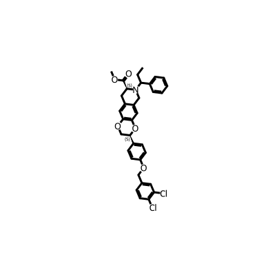 CCC(c1ccccc1)N1Cc2cc3c(cc2C[C@H]1C(=O)OC)OC[C@H](c1ccc(OCc2ccc(Cl)c(Cl)c2)cc1)O3